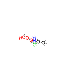 Cc1cc(-c2cc(C)c(NCC(C)OCCOCC(C)O)c(Cl)c2)cc(C)c1C